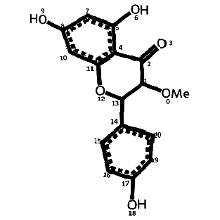 COC1C(=O)c2c(O)cc(O)cc2OC1c1ccc(O)cc1